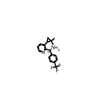 CC1(C)CC1c1cccnc1[C@@H](N)c1ccc(C(F)(F)F)cc1